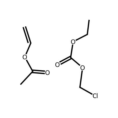 C=COC(C)=O.CCOC(=O)OCCl